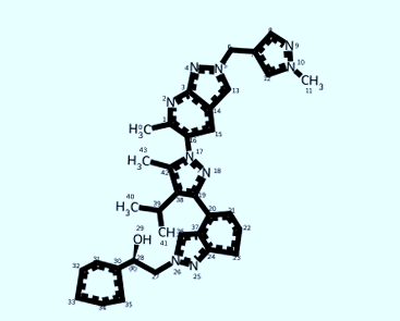 Cc1nc2nn(Cc3cnn(C)c3)cc2cc1-n1nc(-c2cccc3nn(C[C@H](O)c4ccccc4)cc23)c(C(C)C)c1C